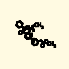 CCCSc1nc(N2CCC[C@H](CC(=O)OC)C2)ccc1C(=O)N(C)C1CCCCC1